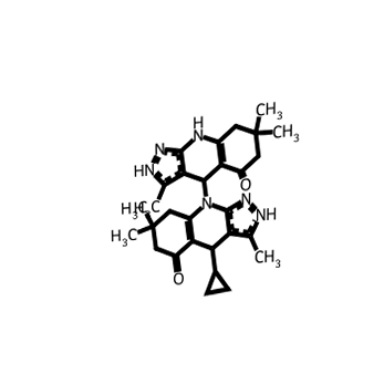 Cc1[nH]nc2c1C(C1CC1)C1=C(CC(C)(C)CC1=O)N2C1C2=C(CC(C)(C)CC2=O)Nc2n[nH]c(C)c21